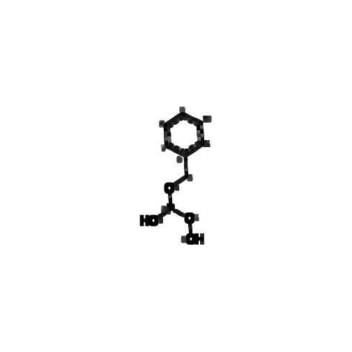 OOP(O)OCc1ccccc1